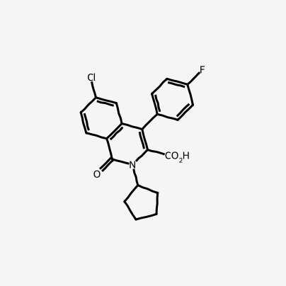 O=C(O)c1c(-c2ccc(F)cc2)c2cc(Cl)ccc2c(=O)n1C1CCCC1